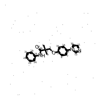 CC(C)(COc1ccc(-n2ccnc2)cc1)C(=O)Nc1ccccc1